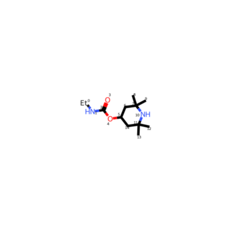 CCNC(=O)OC1CC(C)(C)NC(C)(C)C1